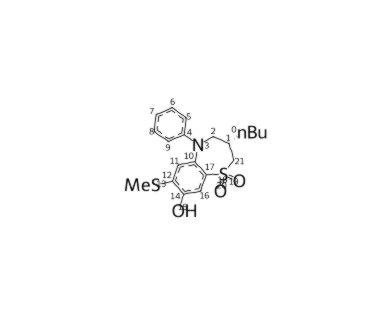 CCCC[C@H]1CN(c2ccccc2)c2cc(SC)c(O)cc2S(=O)(=O)C1